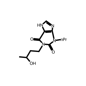 CCCn1c(=O)n(CCC(C)O)c(=O)c2[nH]cnc21